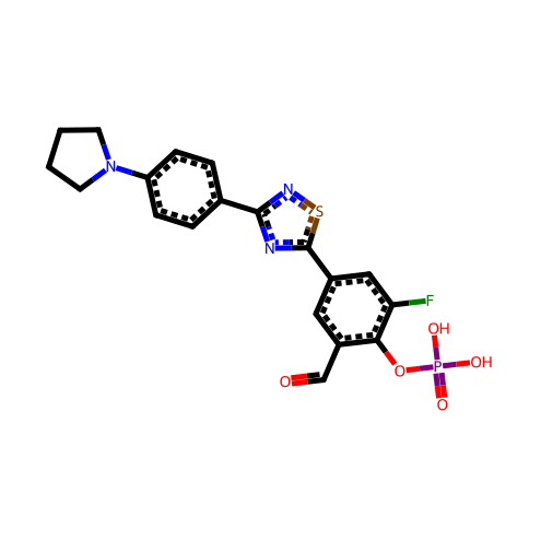 O=Cc1cc(-c2nc(-c3ccc(N4CCCC4)cc3)ns2)cc(F)c1OP(=O)(O)O